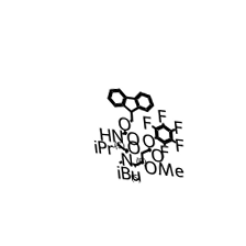 CC[C@H](C)C([C@@H](CC(=O)Oc1c(F)c(F)c(F)c(F)c1F)OC)N(C)C(=O)[C@@H](NC(=O)OCC1c2ccccc2-c2ccccc21)C(C)C